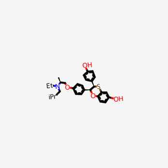 CCN(CC(C)C)[C@@H](C)COc1ccc([C@@H]2Oc3ccc(O)cc3S[C@@H]2c2ccc(O)cc2)cc1